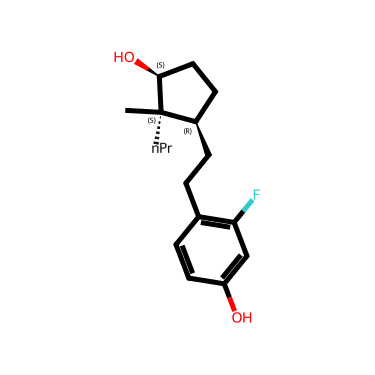 CCC[C@@]1(C)[C@H](CCc2ccc(O)cc2F)CC[C@@H]1O